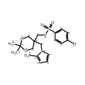 CCc1ccc(S(=O)(=O)OCC2(Cn3ccnc3[N+](=O)[O-])COC(C)(C)OC2)cc1